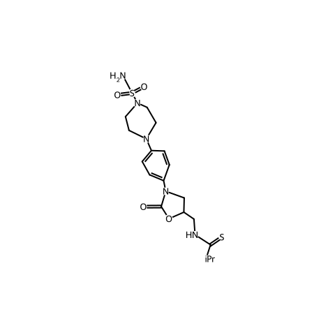 CC(C)C(=S)NCC1CN(c2ccc(N3CCN(S(N)(=O)=O)CC3)cc2)C(=O)O1